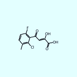 Cc1ccc(F)c(C(=O)/C=C(\O)C(=O)O)c1Cl